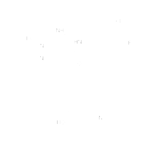 Cn1nc(C2CC3CC(O)(c4cccnc4)CC3C2)c(C(=O)Nc2ccc(F)c(Cl)c2)c1N